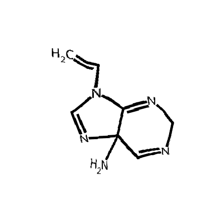 C=CN1C=NC2(N)C=NCN=C12